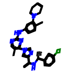 C=C(NC(CC)c1cccc(Cl)c1)c1cn(-c2nc(Nc3ccc(C)c(N4CCCCC4)c3)ncc2C)cn1